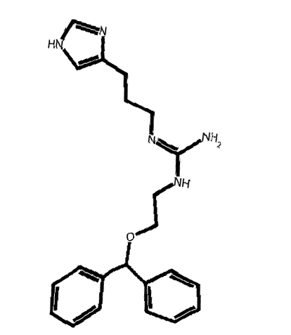 NC(=NCCCc1c[nH]cn1)NCCOC(c1ccccc1)c1ccccc1